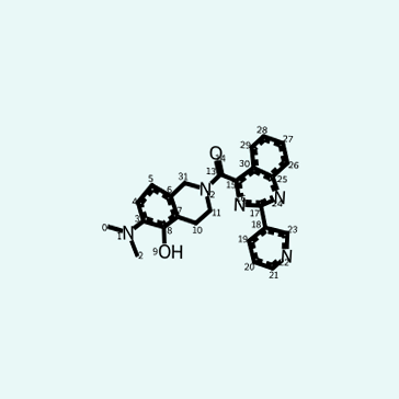 CN(C)c1ccc2c(c1O)CCN(C(=O)c1nc(-c3cccnc3)nc3ccccc13)C2